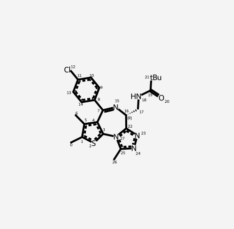 Cc1sc2c(c1C)C(c1ccc(Cl)cc1)=N[C@H](CNC(=O)C(C)(C)C)c1nnc(C)n1-2